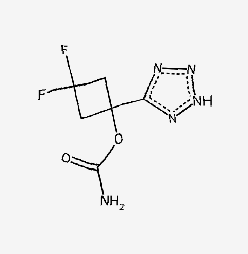 NC(=O)OC1(c2nn[nH]n2)CC(F)(F)C1